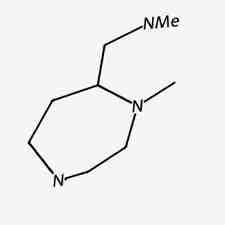 CNCC1CC[N]CCN1C